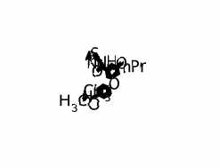 CCCOc1cc(Oc2ccc(C(=O)N(C)C)cc2)cc(C(=O)Nc2nccs2)c1